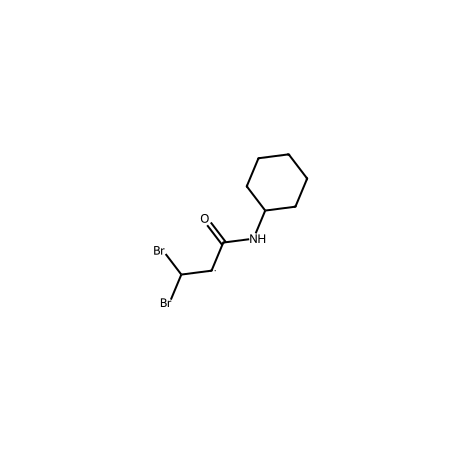 O=C([CH]C(Br)Br)NC1CCCCC1